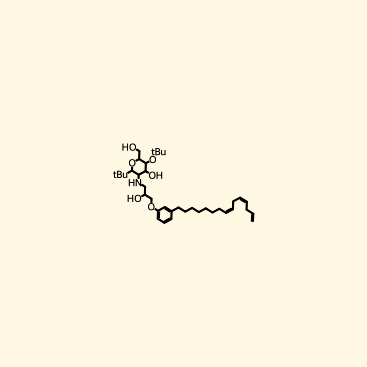 C=CC/C=C\C/C=C\CCCCCCCc1cccc(OCC(O)CNC2C(O)C(OC(C)(C)C)C(CO)OC2C(C)(C)C)c1